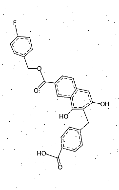 O=C(O)c1ccc(Cc2c(O)cc3ccc(C(=O)OCc4ccc(F)cc4)cc3c2O)cc1